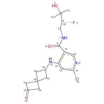 CC(C)(O)[C@H](F)CNC(=O)c1cnc(Cl)cc1NC1CC2(CC(=O)C2)C1